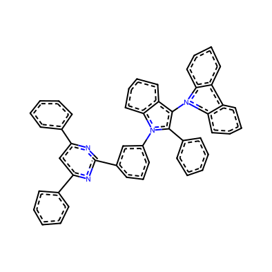 c1ccc(-c2cc(-c3ccccc3)nc(-c3cccc(-n4c(-c5ccccc5)c(-n5c6ccccc6c6ccccc65)c5ccccc54)c3)n2)cc1